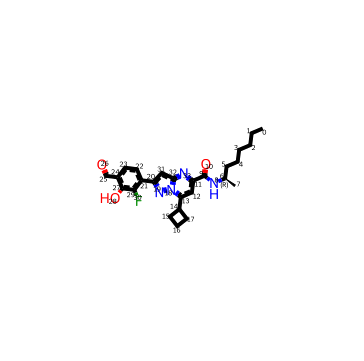 CCCCCC[C@@H](C)NC(=O)c1cc(C2CCC2)n2nc(-c3ccc(C=O)c(O)c3F)cc2n1